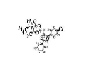 CCN(CC)C(C)OC(=O)Cc1sc(-c2ccccc2)nc1-c1ccc(Cl)cc1